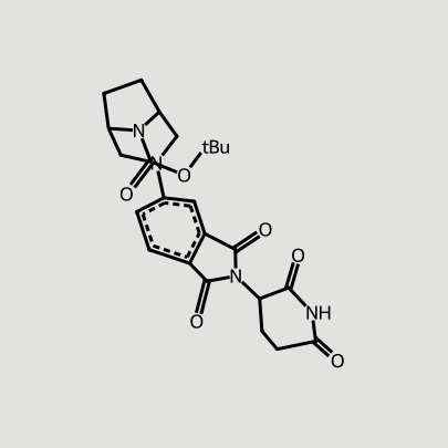 CC(C)(C)OC(=O)N1C2CCC1CN(c1ccc3c(c1)C(=O)N(C1CCC(=O)NC1=O)C3=O)C2